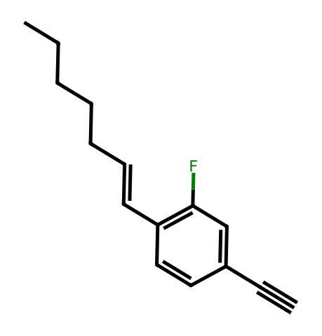 C#Cc1ccc(C=CCCCCC)c(F)c1